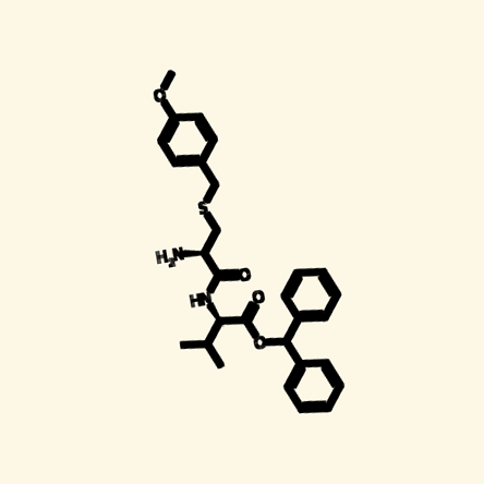 COc1ccc(CSC[C@H](N)C(=O)N[C@@H](C(=O)OC(c2ccccc2)c2ccccc2)C(C)C)cc1